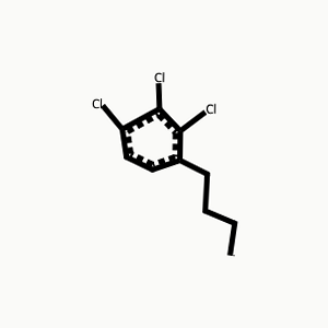 [CH2]CCCc1ccc(Cl)c(Cl)c1Cl